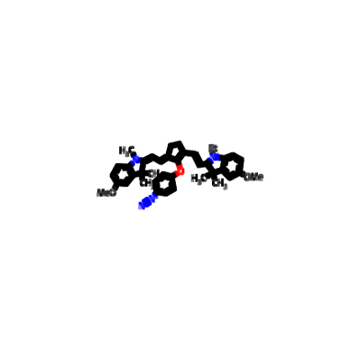 CC[N+]1=C(/C=C/C2=C(Oc3ccc([N+]#N)cc3)C(=C/C=C3/N(C)c4ccc(OC)cc4C3(C)C)/CC2)C(C)(C)c2cc(OC)ccc21